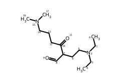 CCN(CC)CCC([C]=O)C(=O)CCCN(C)C